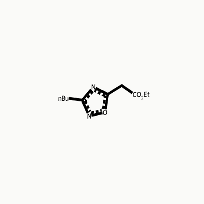 CCCCc1noc(CC(=O)OCC)n1